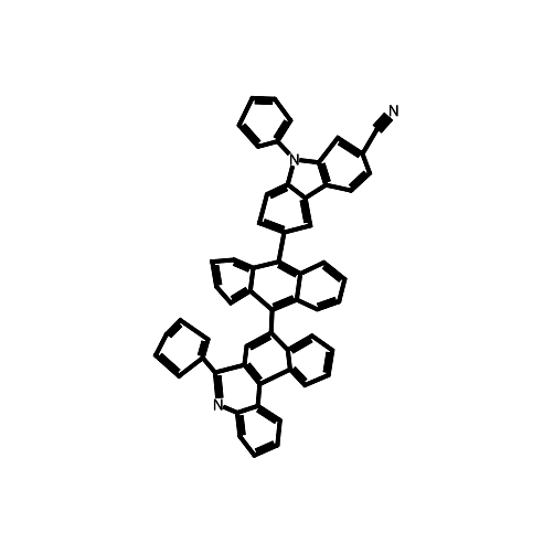 N#Cc1ccc2c3cc(-c4c5ccccc5c(-c5cc6c(-c7ccccc7)nc7ccccc7c6c6ccccc56)c5ccccc45)ccc3n(-c3ccccc3)c2c1